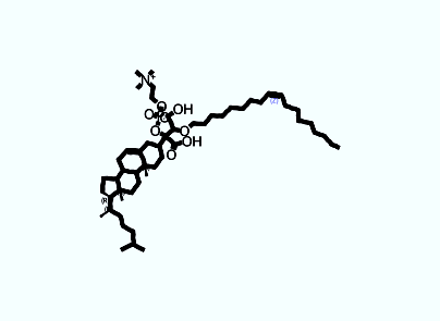 CCCCCCCC/C=C\CCCCCCCCOC(CO)C(OP(=O)([O-])OCC[N+](C)(C)C)(C(=O)O)C1CC[C@@]2(C)C(=CCC3C2CC[C@@]2(C)C3CC[C@@H]2[C@H](C)CCCC(C)C)C1